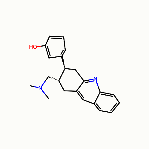 CN(C)C[C@H]1Cc2cc3ccccc3nc2C[C@@H]1c1cccc(O)c1